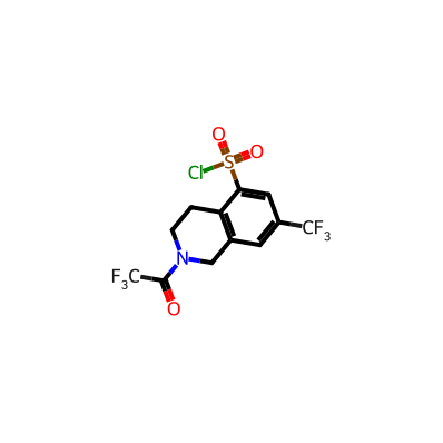 O=C(N1CCc2c(cc(C(F)(F)F)cc2S(=O)(=O)Cl)C1)C(F)(F)F